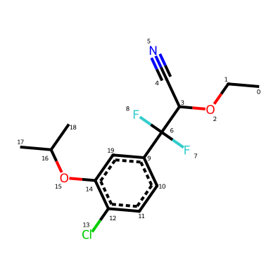 CCOC(C#N)C(F)(F)c1ccc(Cl)c(OC(C)C)c1